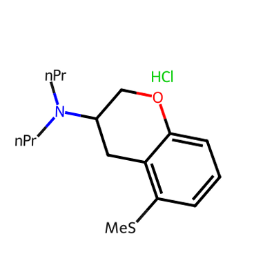 CCCN(CCC)C1COc2cccc(SC)c2C1.Cl